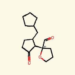 O=C[C@]1(C2C(=O)CCC2CC2CCCC2)CCCO1